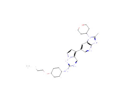 COCCO[C@H]1CC[C@@H](Nc2ncc3c(-c4cnc5nc(C)n(C6CCOCC6)c5c4)ccn3n2)CC1